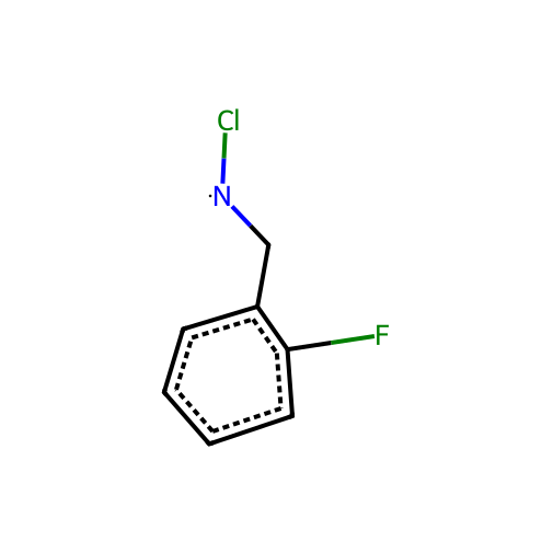 Fc1ccccc1C[N]Cl